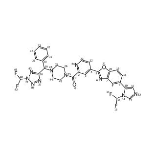 O=C(c1cc(-c2nc3cc(-c4cncn4C(F)F)ccc3o2)ccn1)N1CCN(C(c2ccccc2)c2nnn(C(F)F)n2)CC1